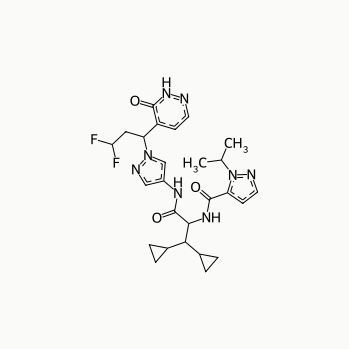 CC(C)n1nccc1C(=O)NC(C(=O)Nc1cnn(C(CC(F)F)c2ccn[nH]c2=O)c1)C(C1CC1)C1CC1